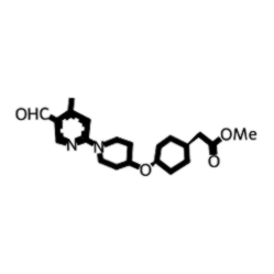 COC(=O)C[C@H]1CC[C@@H](OC2CCN(c3cc(C)c(C=O)cn3)CC2)CC1